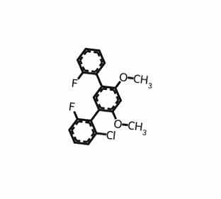 COc1cc(OC)c(-c2c(F)cccc2Cl)cc1-c1ccccc1F